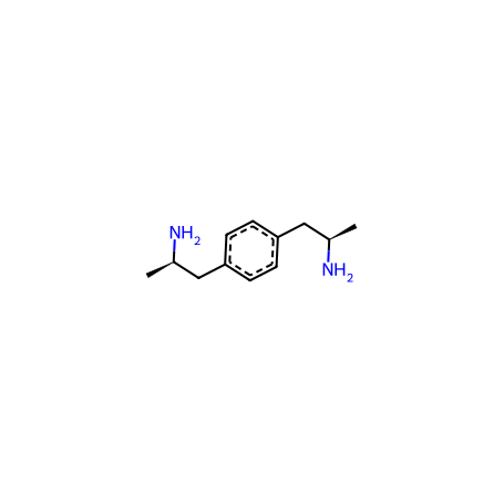 C[C@@H](N)Cc1ccc(C[C@@H](C)N)cc1